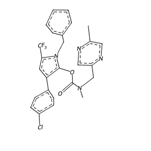 Cc1cnc(CN(C)C(=O)Oc2c(-c3ccc(Cl)cc3)cc(C(F)(F)F)n2Cc2ccccc2)cn1